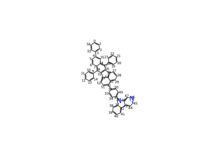 c1ccc(-c2ccc3c(-c4ccccc4)c4c(c(-c5ccccc5)c3c2)-c2cccc3c(-c5ccc(-n6c7ccccc7c7ccncc76)cc5)ccc-4c23)cc1